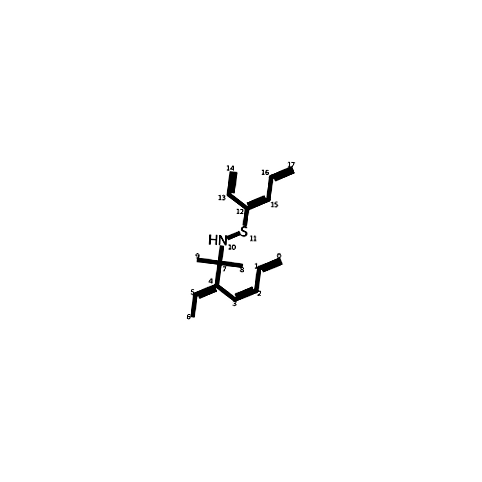 C=C/C=C\C(=C/C)C(C)(C)NS/C(C=C)=C/C=C